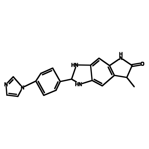 CC1C(=O)Nc2cc3c(cc21)NC(c1ccc(-n2ccnc2)cc1)N3